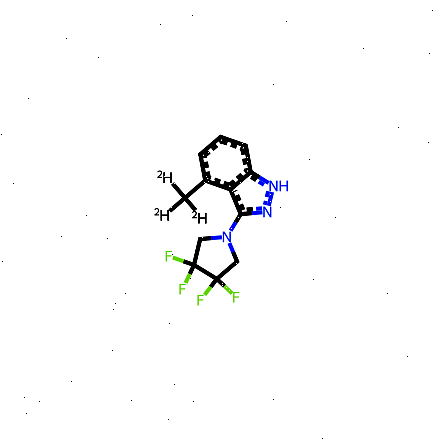 [2H]C([2H])([2H])c1cccc2[nH]nc(N3CC(F)(F)C(F)(F)C3)c12